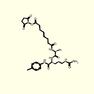 Cc1ccc(NC(=O)[C@H](CCCNC(N)=O)NC(=O)[C@@H](NC(=O)CCCCCCC(=O)ON2C(=O)CCC2=O)C(C)C)cc1